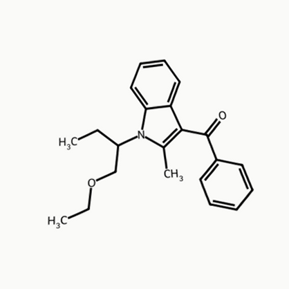 CCOCC(CC)n1c(C)c(C(=O)c2ccccc2)c2ccccc21